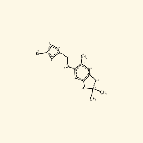 CCn1cc(COc2cc3c(cc2N)CC(C)(C)O3)cn1